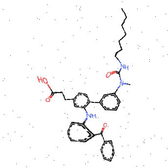 CCCCCCCNC(=O)N(C)c1cccc(-c2ccc(CCC(=O)O)cc2Nc2ccccc2C(=O)c2ccccc2)c1